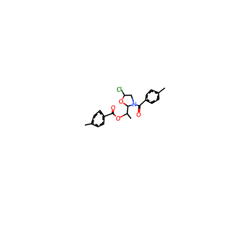 Cc1ccc(C(=O)OC(C)C2OC(Cl)CN2C(=O)c2ccc(C)cc2)cc1